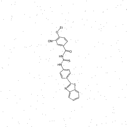 CCOc1ccc(C(=O)NC(=S)Nc2ccc(-c3nc4ccccc4s3)cc2)cc1N=O